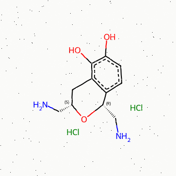 Cl.Cl.NC[C@@H]1Cc2c(ccc(O)c2O)[C@H](CN)O1